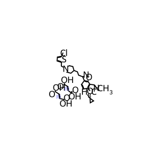 CN(C)Cc1c(OCC2CC2)ccc2c(CCC3CCN(Cc4ccc(Cl)s4)CC3)noc12.O=C(O)/C=C/C(=O)O.O=C(O)/C=C/C(=O)O